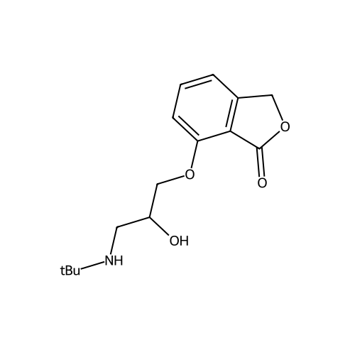 CC(C)(C)NCC(O)COc1cccc2c1C(=O)OC2